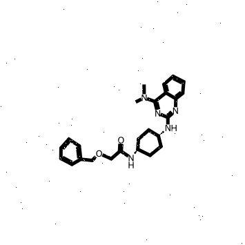 CN(C)c1nc(N[C@H]2CC[C@@H](NC(=O)COCc3ccccc3)CC2)nc2ccccc12